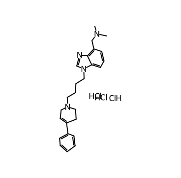 CN(C)Cc1cccc2c1ncn2CCCCN1CC=C(c2ccccc2)CC1.Cl.Cl.Cl